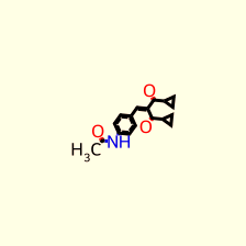 CC(=O)Nc1ccc(C=C(C(=O)C2CC2)C(=O)C2CC2)cc1